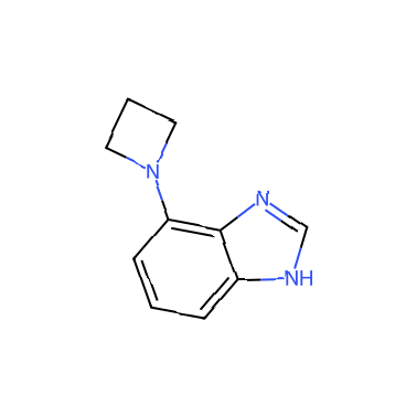 c1cc(N2CCC2)c2nc[nH]c2c1